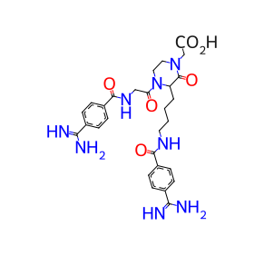 N=C(N)c1ccc(C(=O)NCCCCC2C(=O)N(CC(=O)O)CCN2C(=O)CNC(=O)c2ccc(C(=N)N)cc2)cc1